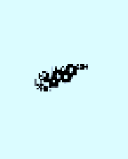 CC(=O)C1C(O)CC2C3CC=C4CC(O)CCC4(C)C3CCC21C